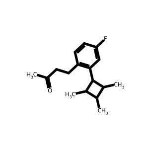 CC(=O)CCc1ccc(F)cc1C1C(C)C(C)C1C